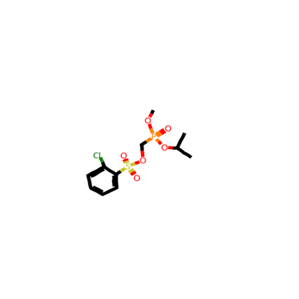 COP(=O)(COS(=O)(=O)c1ccccc1Cl)OC(C)C